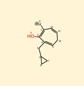 CCC(C)C1=C(O)C(CC2CC2)=CCC=C1